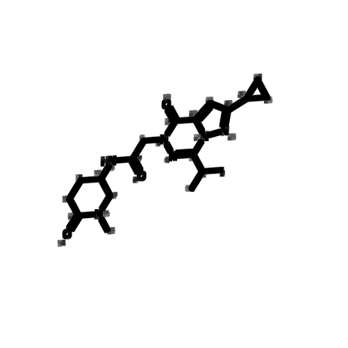 CC(C)c1nn(CC(=O)NC2CCC(=O)N(C)C2)c(=O)c2cc(C3CC3)nn12